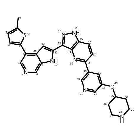 Cc1ccc(-c2cncc3[nH]c(-c4n[nH]c5ccc(-c6cncc(OC7CCNCC7)c6)nc45)cc23)s1